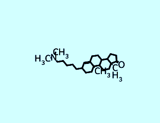 CN(C)CCCCCC1C=C2CCC3C(CC[C@]4(C)C(=O)CCC34)[C@@]2(C)CC1